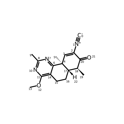 [C-]#[N+]C1=C[C@]2(C)c3nc(C)nc(OC)c3CC[C@H]2[C@H](C)C1=O